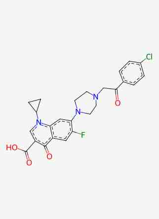 O=C(CN1CCN(c2cc3c(cc2F)c(=O)c(C(=O)O)cn3C2CC2)CC1)c1ccc(Cl)cc1